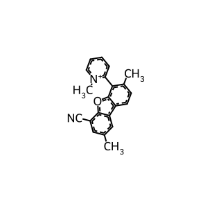 Cc1cc(C#N)c2oc3c(-c4cccc[n+]4C)c(C)ccc3c2c1